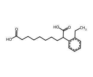 CCc1ccccc1C(CCCCCCCC(=O)O)C(=O)O